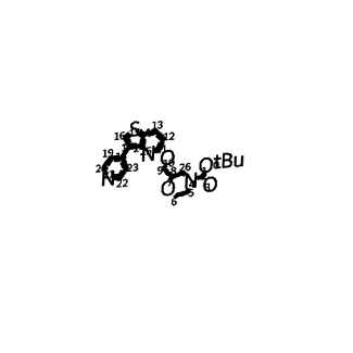 CC(C)(C)OC(=O)N1CCOC(COc2ccc3scc(-c4ccncc4)c3n2)C1